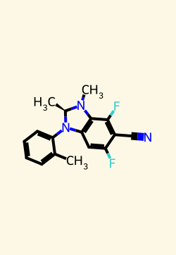 Cc1ccccc1N1c2cc(F)c(C#N)c(F)c2N(C)[C@@H]1C